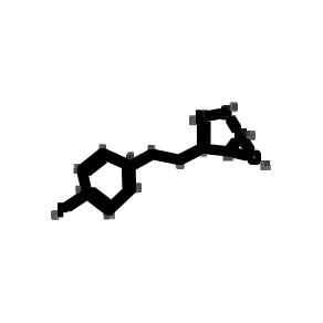 Fc1ccc(CCC2=NSN3OC23)cc1